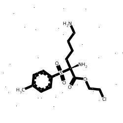 Cc1ccc(S(=O)(=O)[C@](N)(CCCCN)C(=O)OCCCl)cc1